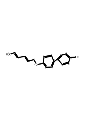 CC=CC=CCOc1ccc(-c2ccc(F)cc2)cc1